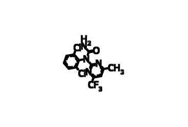 Cc1cc(C(F)(F)F)nc(N(C(N)=O)c2c(Cl)cccc2Cl)n1